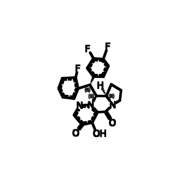 O=C1c2c(O)c(=O)cnn2[C@@H]([C@@H](c2ccc(F)c(F)c2)c2ccccc2F)[C@H]2CCCN12